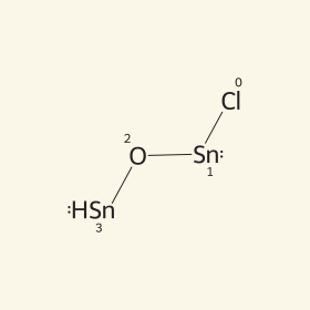 [Cl][Sn][O][SnH]